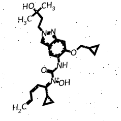 C=C/C=C\C(C1CC1)=[N+](\O)C(=O)Nc1cc2cn(CCC(C)(C)O)nc2cc1OCC1CC1